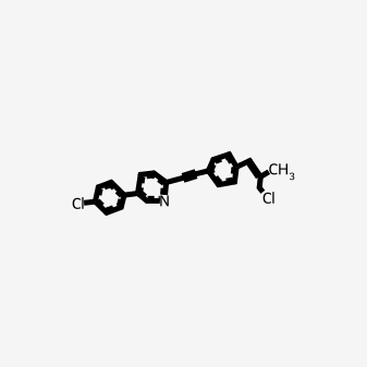 CC(=Cc1ccc(C#Cc2ccc(-c3ccc(Cl)cc3)cn2)cc1)CCl